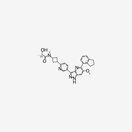 COc1cc2[nH]nc(-c3ccc(C4CC(N(C)C(=O)[C@H](C)O)C4)nc3)c2nc1-c1cccc2c1CCC2